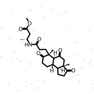 COC(=O)C[C@@H](C)NC(=O)CC[C@@]1(C)C(=O)CC[C@@H]2[C@@H]1C(=O)C[C@]1(C)C(=O)CC[C@@H]21